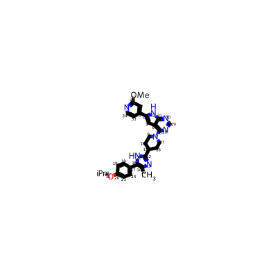 COc1cc(-c2cc3c(N4CCC(c5nc(C)c(-c6ccc(OC(C)C)cc6)[nH]5)CC4)ncnc3[nH]2)ccn1